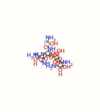 NC[C@@H]1O[C@H](O[C@H]2[C@@H](O)[C@H](O[C@@H]3[C@@H](O)[C@H](NC(=O)C(O)[C@@H](F)CN)C[C@H](N)[C@H]3O[C@H]3O[C@H](CN)[C@@H](O)C[C@H]3N)O[C@@H]2CO)[C@H](N)[C@@H](O)[C@@H]1O